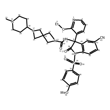 CCOc1ncccc1C1(NC(=O)N2CC3(C2)CN(C2CCN(C)CC2)C3)C(=O)N(S(=O)(=O)c2ccc(OC)cc2)c2ccc(C#N)cc21